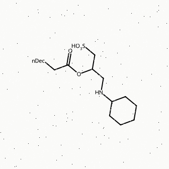 CCCCCCCCCCCC(=O)OC(CNC1CCCCC1)CS(=O)(=O)O